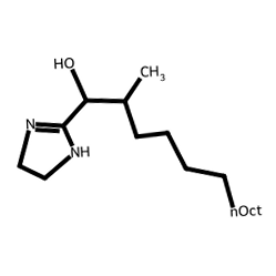 CCCCCCCCCCCCC(C)C(O)C1=NCCN1